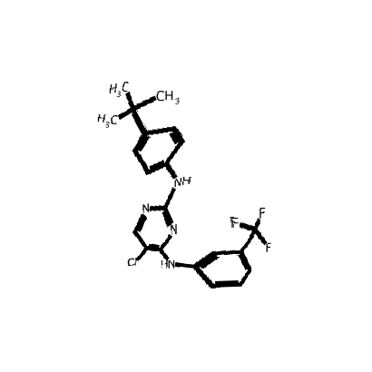 CC(C)(C)c1ccc(Nc2ncc(Cl)c(Nc3cccc(C(F)(F)F)c3)n2)cc1